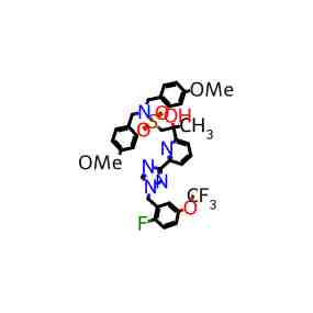 COc1ccc(CN(Cc2ccc(OC)cc2)S(=O)(=O)CC(C)(O)c2cccc(-c3ncn(Cc4cc(OC(F)(F)F)ccc4F)n3)n2)cc1